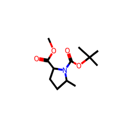 COC(=O)C1CCC(C)N1C(=O)OC(C)(C)C